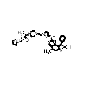 CC(C(=O)OC[C@H]1CCCN1)N1CCN(CCn2ccc(Nc3ncc4c(n3)-c3c(nn(C)c3-c3ccccc3)C[C@H]4C)n2)CC1